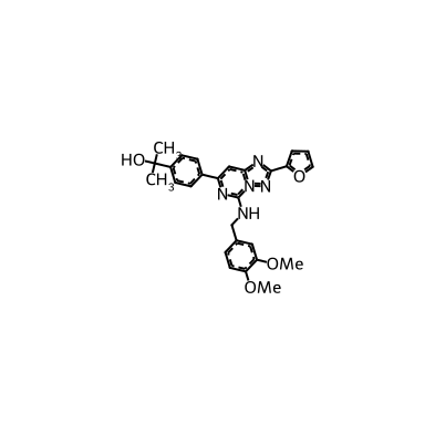 COc1ccc(CNc2nc(-c3ccc(C(C)(C)O)cc3)cc3nc(-c4ccco4)nn23)cc1OC